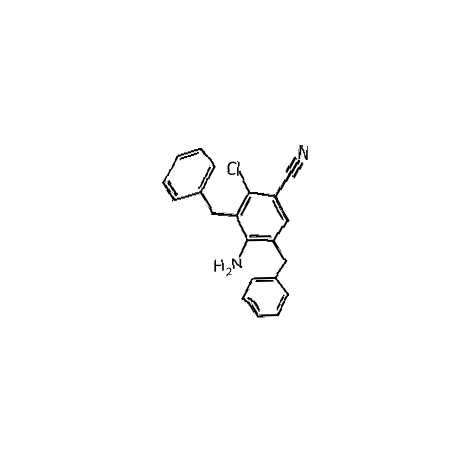 N#Cc1cc(Cc2ccccc2)c(N)c(Cc2ccccc2)c1Cl